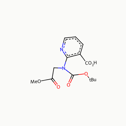 COC(=O)CN(C(=O)OC(C)(C)C)c1ncccc1C(=O)O